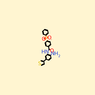 COP(=O)(c1ccccc1)c1ccc(C(=O)Nc2cc(-c3ccsc3)ccc2N)cc1